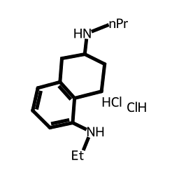 CCCNC1CCc2c(cccc2NCC)C1.Cl.Cl